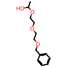 CC(O)OCCOCCOCc1ccccc1